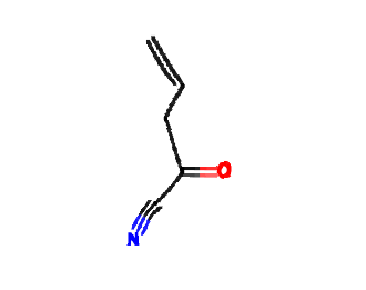 C=CCC(=O)C#N